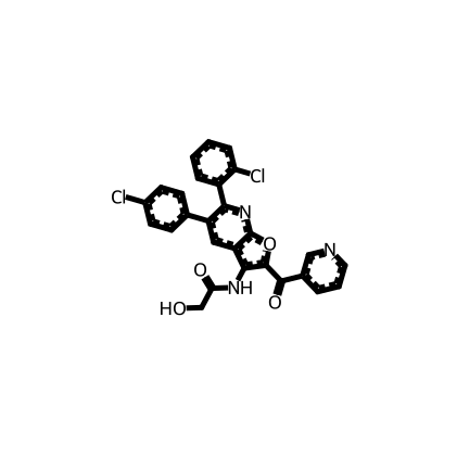 O=C(CO)Nc1c(C(=O)c2cccnc2)oc2nc(-c3ccccc3Cl)c(-c3ccc(Cl)cc3)cc12